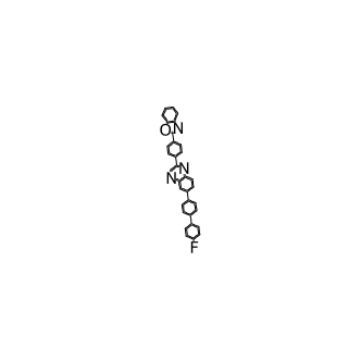 Fc1ccc(-c2ccc(-c3ccc4nc(-c5ccc(-c6nc7ccccc7o6)cc5)cnc4c3)cc2)cc1